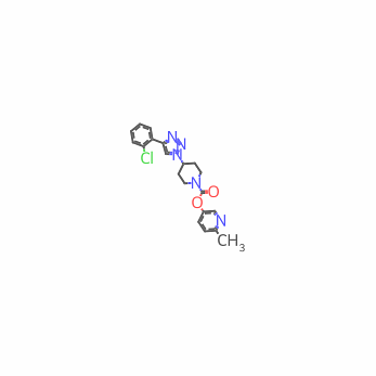 Cc1ccc(OC(=O)N2CCC(n3cc(-c4ccccc4Cl)nn3)CC2)cn1